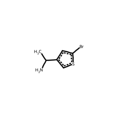 CC(N)c1csc(Br)c1